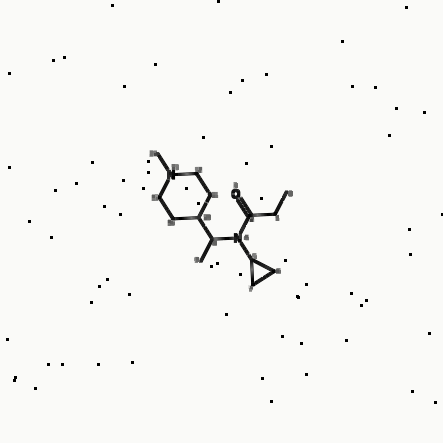 CCC(=O)N(C1CC1)C(C)C1CCN(C)CC1